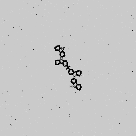 Cn1c2ccccc2c2cc(-n3c4ccccc4c4cc(C(C)(C)c5ccc6c(c5)c5ccccc5n6-c5ccc6[nH]c7ccccc7c6c5)ccc43)ccc21